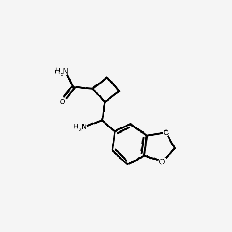 NC(=O)C1CCC1C(N)c1ccc2c(c1)OCO2